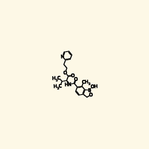 Cc1c(C(=O)N[C@H](C(=O)OCCc2ccccn2)C(C)C)ccc2c1B(O)OC2